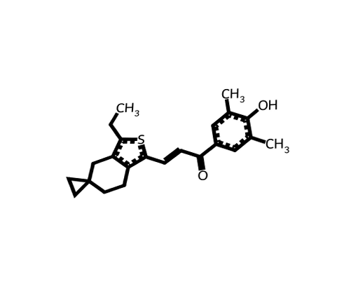 CCc1sc(C=CC(=O)c2cc(C)c(O)c(C)c2)c2c1CC1(CC2)CC1